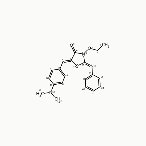 CCON1C(=O)C(=Cc2ccc(N(C)C)cc2)SC1=Nc1ccccc1